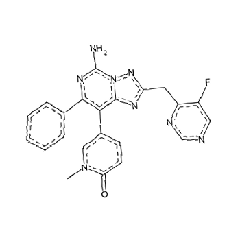 Cn1cc(-c2c(-c3ccccc3)nc(N)n3nc(Cc4ncncc4F)nc23)ccc1=O